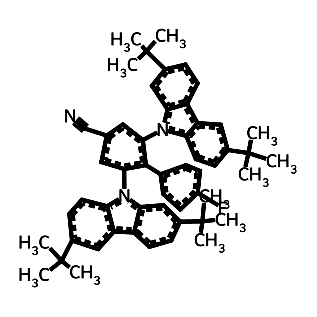 CC(C)(C)c1ccc2c(c1)c1ccc(C(C)(C)C)cc1n2-c1cc(C#N)cc(-n2c3ccc(C(C)(C)C)cc3c3ccc(C(C)(C)C)cc32)c1-c1ccc(F)cc1